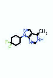 C=C1NC=Nc2c1cnn2C1CCC(F)(F)CC1